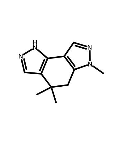 Cn1ncc2c1CC(C)(C)c1cn[nH]c1-2